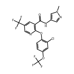 Cn1cc(NC(=O)c2cc(C(F)(F)F)cnc2Oc2ccc(OC(F)(F)F)cc2Cl)cn1